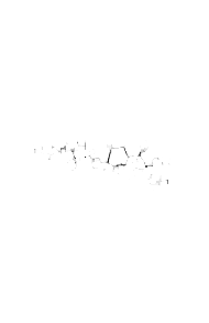 CC(C)(O)C(=O)c1ccc(OCC(=O)NN)cc1